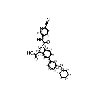 N#Cc1ccc(NC(=O)n2nc(C(=O)O)c3cc(-c4cncc(CN5CCCCC5)c4)ccc32)cn1